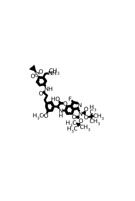 CNCc1cc(NC(=O)CCc2cc(OC)cc(C(Nc3ccc4c(N(C(=O)OC(C)(C)C)C(=O)OC(C)(C)C)ncc(F)c4c3)C(=O)O)c2)ccc1S(=O)(=O)C1CC1